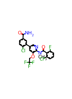 CN(C(=O)c1c(F)cccc1Cl)c1ncc(-c2cc(C(N)=O)ccc2Cl)cc1OCC(F)(F)F